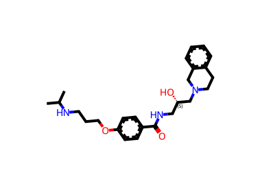 CC(C)NCCCOc1ccc(C(=O)NC[C@H](O)CN2CCc3ccccc3C2)cc1